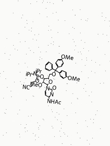 COc1ccc(C(OCC2OC(n3ccc(NC(C)=O)nc3=O)C(OC)C2OP(OCCC#N)N(C(C)C)C(C)C)(c2ccccc2)c2ccc(OC)cc2)cc1